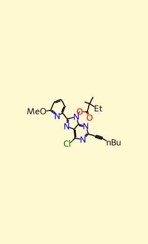 CCCCC#Cc1nc(Cl)c2nc(-c3cccc(OC)n3)n(OC(=O)C(C)(C)CC)c2n1